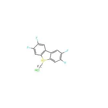 Cl.Fc1cc2c(cc1F)[SH](C(F)(F)F)c1cc(F)c(F)cc1-2